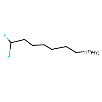 CCCCCCCCCCCC(F)F